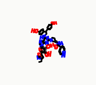 CCc1cc([C@H]2O[C@@H](n3cnc4c(NCC(c5ccc(O)cc5)c5ccc(O)cc5)nc(N5CC[C@@H](NC(=O)c6ccncc6)C5)nc43)[C@H](O)[C@@H]2O)on1